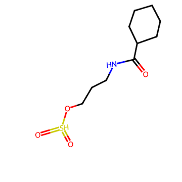 O=C(NCCCO[SH](=O)=O)C1CCCCC1